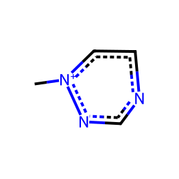 C[n+]1ccncn1